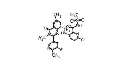 Cc1cc([C@@H](C)Nc2ccc(Cl)nc2C(=O)NS(C)(=O)=O)c2nc(-c3cnc(C)c(F)c3)n(C)c(=O)c2c1